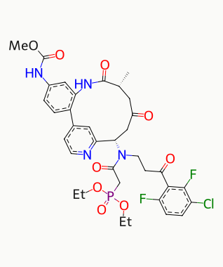 CCOP(=O)(CC(=O)N(CCC(=O)c1c(F)ccc(Cl)c1F)[C@H]1CC(=O)C[C@@H](C)C(=O)Nc2cc(NC(=O)OC)ccc2-c2ccnc1c2)OCC